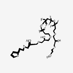 OCCOCC(O)COCCC(F)(F)OC(F)(F)CC(F)(F)OC(F)(F)CCOCC(O)COCC(O)COCCc1cccs1